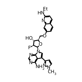 CCNc1ccc2ccc(OC[C@H]3O[C@@H](n4cc(-c5ccn(C)n5)c5c(N)ncnc54)[C@@H](F)[C@@H]3O)cc2n1